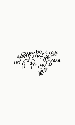 COC1OC(CNCc2cnnn2CCCNCC2OC(OC)C(NC(C)=O)C(OC3OC(C(=O)O)C(C)C(O)C3O)C2O)C(O)C(OC2OC(C(=O)O)C(C)C(O)C2O)C1NCC=O